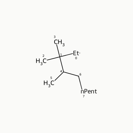 C[CH]C(C)(C)C(C)CCCCCC